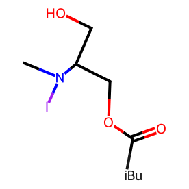 CCC(C)C(=O)OCC(CO)N(C)I